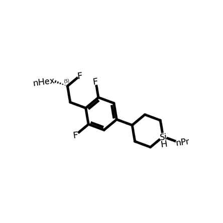 CCCCCC[C@H](F)Cc1c(F)cc(C2CC[SiH](CCC)CC2)cc1F